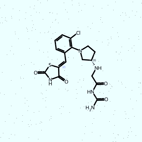 NC(=O)NC(=O)CN[C@H]1CCN(c2c(Cl)cccc2/C=C2\SC(=O)NC2=O)C1